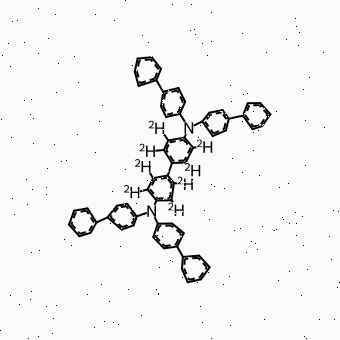 [2H]c1c([2H])c(N(c2ccc(-c3ccccc3)cc2)c2ccc(-c3ccccc3)cc2)c([2H])c([2H])c1-c1c([2H])c([2H])c(N(c2ccc(-c3ccccc3)cc2)c2ccc(-c3ccccc3)cc2)c([2H])c1[2H]